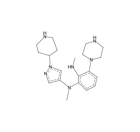 CNc1c(N2CCNCC2)cccc1N(C)c1cnn(C2CCNCC2)c1